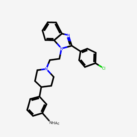 CC(=O)Nc1cccc(C2CCN(CCn3c(-c4ccc(Cl)cc4)nc4ccccc43)CC2)c1